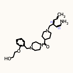 C=C/C=C(\C=C/N)CN1CCC(C(=O)N2CCN(Cc3ccccc3OCCO)CC2)CC1